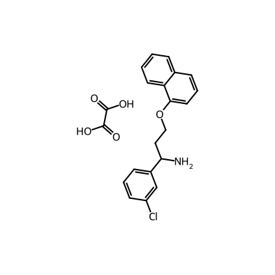 NC(CCOc1cccc2ccccc12)c1cccc(Cl)c1.O=C(O)C(=O)O